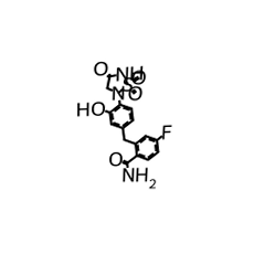 NC(=O)c1ccc(F)cc1Cc1ccc(N2CC(=O)NS2(=O)=O)c(O)c1